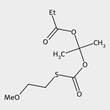 CCC(=O)OC(C)(C)OC(=O)SCCOC